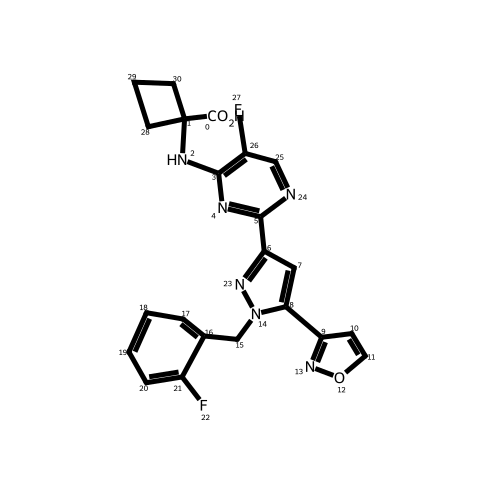 O=C(O)C1(Nc2nc(-c3cc(-c4ccon4)n(Cc4ccccc4F)n3)ncc2F)CCC1